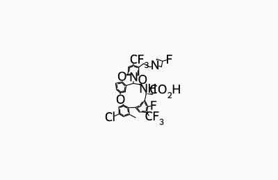 Cc1cc(Cl)cc2c1-c1cc(c(F)c(C(F)(F)F)c1)[C@H](CC(=O)O)NC(=O)[C@H](n1cc(CCN3CC(F)C3)c(C(F)(F)F)cc1=O)c1cccc(c1)O2